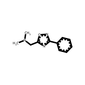 CN(C)Cc1nc(-c2c[c]ccc2)no1